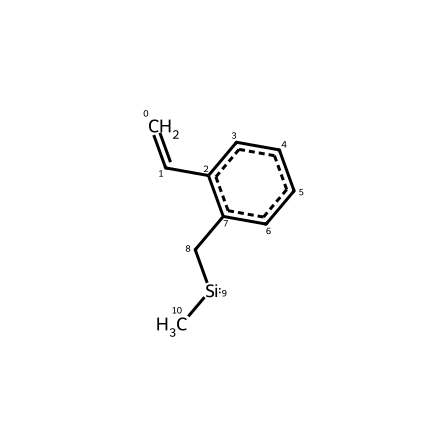 C=Cc1ccccc1C[Si]C